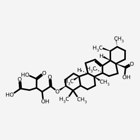 C[C@H]1[C@H](C)CC[C@]2(C(=O)O)CC[C@]3(C)C(=CC[C@@H]4[C@@]5(C)CC[C@H](OC(=O)C(O)C(CC(=O)O)C(=O)O)C(C)(C)C5CC[C@]43C)[C@H]12